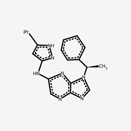 CC(C)c1cc(Nc2cnc3ncn([C@H](C)c4ccccc4)c3n2)n[nH]1